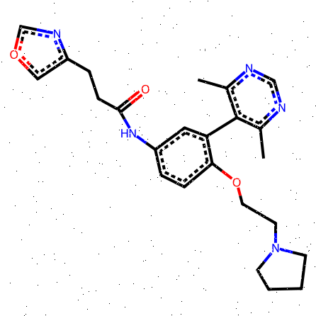 Cc1ncnc(C)c1-c1cc(NC(=O)CCc2cocn2)ccc1OCCN1CCCC1